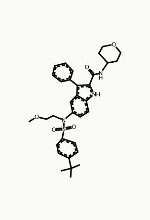 COCCN(c1ccc2[nH]c(C(=O)NC3CCOCC3)c(-c3ccccc3)c2c1)S(=O)(=O)c1ccc(C(C)(C)C)cc1